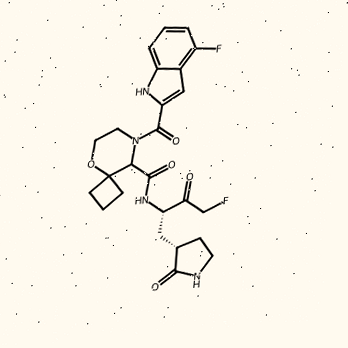 O=C(N[C@@H](C[C@@H]1CCNC1=O)C(=O)CF)C1N(C(=O)c2cc3c(F)cccc3[nH]2)CCOC12CCC2